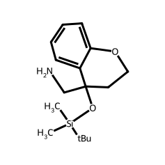 CC(C)(C)[Si](C)(C)OC1(CN)CCOc2ccccc21